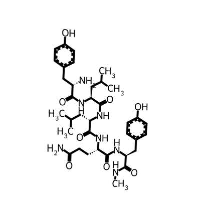 CNC(=O)[C@H](Cc1ccc(O)cc1)NC(=O)[C@H](CCC(N)=O)NC(=O)[C@H](CC(C)C)NC(=O)[C@H](CC(C)C)NC(=O)[C@@H](N)Cc1ccc(O)cc1